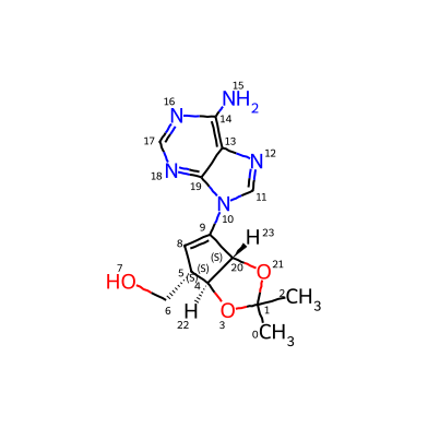 CC1(C)O[C@H]2[C@H](CO)C=C(n3cnc4c(N)ncnc43)[C@@H]2O1